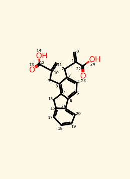 C=C(Cc1ccc2c(c1CC(=C)C(=O)O)Cc1ccccc1-2)C(=O)O